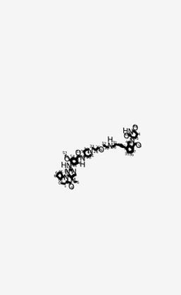 CC[C@@H]1C(=O)N(C)c2cnc(Nc3ccc(C(=O)NC4CCN(CCCOCCNCCC#Cc5cccc6c5CN(C5CCC(=O)NC5=O)C6=O)CC4)cc3OC)nc2N1C1CCCC1